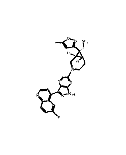 Cc1cc([C@@]2(CN)[C@@H]3CCN(c4cnc5c(-c6ccnc7ccc(F)cc67)n[nH]c5n4)C[C@@H]32)no1